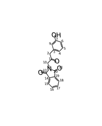 O=C(Cc1cccc(O)c1)CN1C(=O)c2ccccc2C1=O